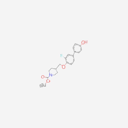 CC(C)(C)OC(=O)N1CCC(COc2ccc(-c3ccc(O)cc3)cc2F)CC1